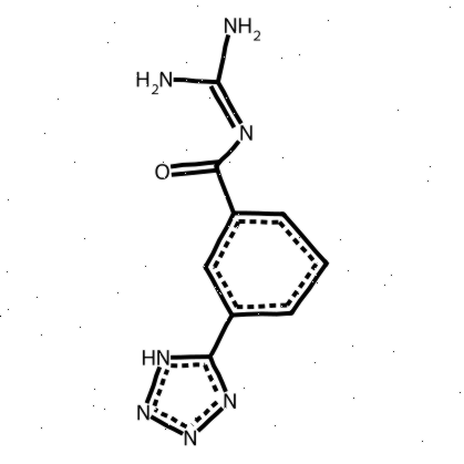 NC(N)=NC(=O)c1cccc(-c2nnn[nH]2)c1